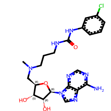 CN(CCCNC(=O)Nc1cccc(Cl)c1)C[C@H]1O[C@@H](n2cnc3c(N)ncnc32)[C@H](O)[C@@H]1O